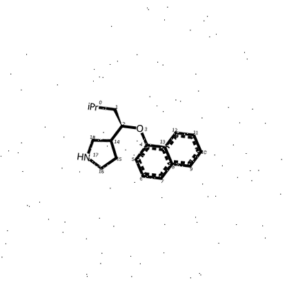 CC(C)C[C@@H](Oc1cccc2ccccc12)C1CCNC1